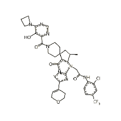 C[C@@H]1CC2(CCN(C(=O)c3ncnc(N4CCC4)c3O)CC2)c2c1n(CC(=O)Nc1ccc(C(F)(F)F)cc1Cl)c1nc(C3=CCOCC3)nn1c2=O